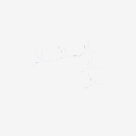 CCCC[N+](CCCC)(CCCC)CCCC.CCCC[N+](CCCC)(CCCC)CCCC.CCCC[N+](CCCC)(CCCC)CCCC.CCCC[N+](CCCC)(CCCC)CCCC.CCCC[N+](CCCC)(CCCC)CCCC.[I-].[I-].[I-].[I-].[I-]